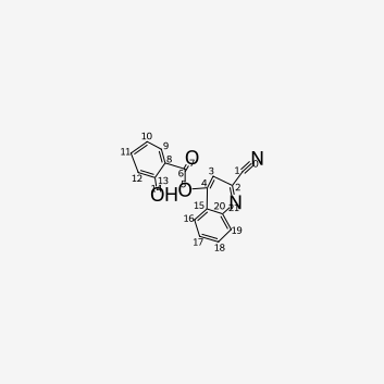 N#Cc1cc(OC(=O)c2ccccc2O)c2ccccc2n1